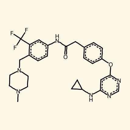 CN1CCN(Cc2ccc(NC(=O)Cc3ccc(Oc4cc(NC5CC5)ncn4)cc3)cc2C(F)(F)F)CC1